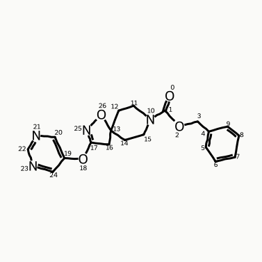 O=C(OCc1ccccc1)N1CCC2(CC1)CC(Oc1cncnc1)=NO2